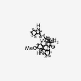 COc1cccc(Cn2c(CCc3c[nH]c4ccccc34)nnc2C(Cc2c[nH]c3ccccc23)NC(=O)C(C)(C)N)c1